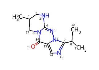 CC1CNc2nn3c(C(C)C)ncc3c(=O)n2C1